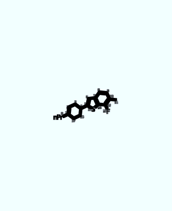 CCCC1=CCC(c2cc3ccc(C)c(F)c3s2)CC1